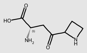 N[C@@H](CC(=O)C1CCN1)C(=O)O